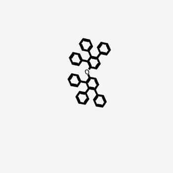 c1ccc(-c2ccc(Oc3ccc(-c4ccccc4)c(-c4ccccc4)c3-c3ccccc3)c(-c3ccccc3)c2-c2ccccc2)cc1